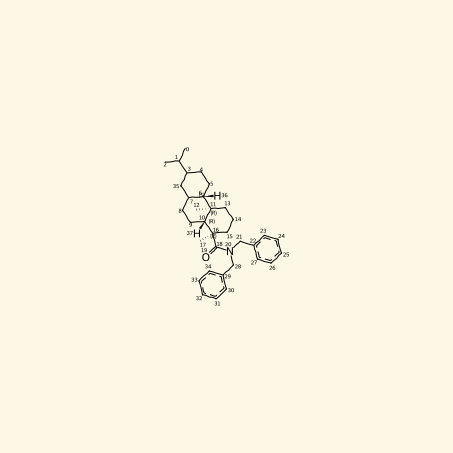 CC(C)C1CC[C@H]2C(CC[C@@H]3[C@]2(C)CCC[C@@]3(C)C(=O)N(Cc2ccccc2)Cc2ccccc2)C1